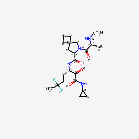 CC(F)(F)CC[C@H](NC(=O)[C@@H]1CC2(CCC2)CN1C(=O)[C@@H](NC(=O)O)C(C)(C)C)C(=O)C(=O)NC1CC1